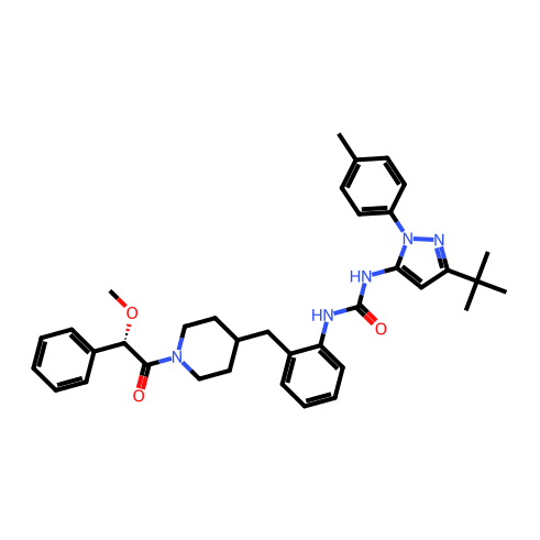 CO[C@H](C(=O)N1CCC(Cc2ccccc2NC(=O)Nc2cc(C(C)(C)C)nn2-c2ccc(C)cc2)CC1)c1ccccc1